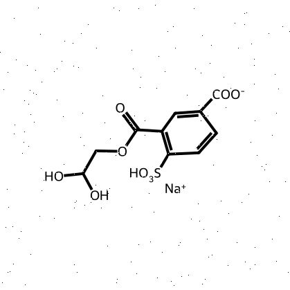 O=C([O-])c1ccc(S(=O)(=O)O)c(C(=O)OCC(O)O)c1.[Na+]